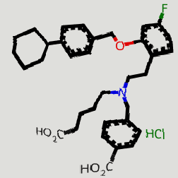 Cl.O=C(O)CCCCN(CCc1ccc(F)cc1OCc1ccc(C2CCCCC2)cc1)Cc1ccc(C(=O)O)cc1